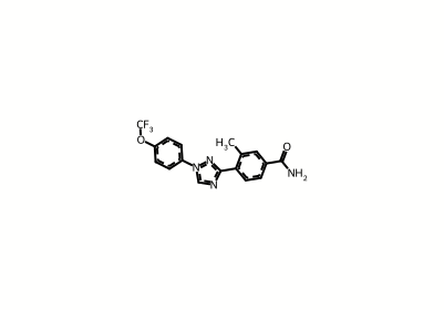 Cc1cc(C(N)=O)ccc1-c1ncn(-c2ccc(OC(F)(F)F)cc2)n1